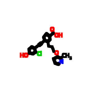 Cc1ncccc1OCCCc1cc(C(=O)O)ccc1C#Cc1ccc(O)cc1Cl